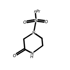 CCCS(=O)(=O)N1CCNC(=O)C1